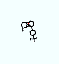 C[C@H]1C2CCNC1c1c(-c3ccc(C(F)(F)F)cc3)cccc12